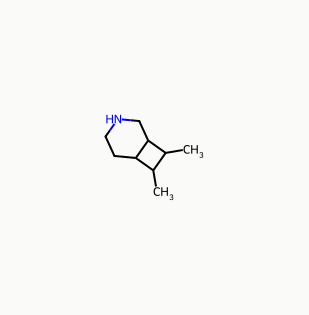 CC1C(C)C2CNCCC12